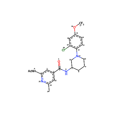 CC(=O)Nc1cc(C(=O)NC2CCCN(c3ccc(OC(F)(F)F)cc3Cl)C2)cc(C)n1